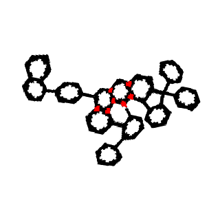 c1ccc(-c2ccccc2-c2c(-c3ccccc3)cccc2N(c2ccc(-c3ccc(-c4cccc5ccccc45)cc3)cc2)c2cccc3c2-c2ccccc2C3(c2ccccc2)c2ccccc2)cc1